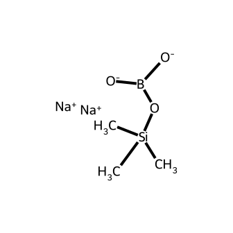 C[Si](C)(C)OB([O-])[O-].[Na+].[Na+]